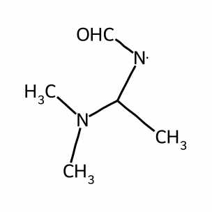 CC([N]C=O)N(C)C